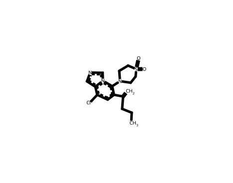 C=C(CCC)c1cc(Cl)c2cncn2c1N1CCS(=O)(=O)CC1